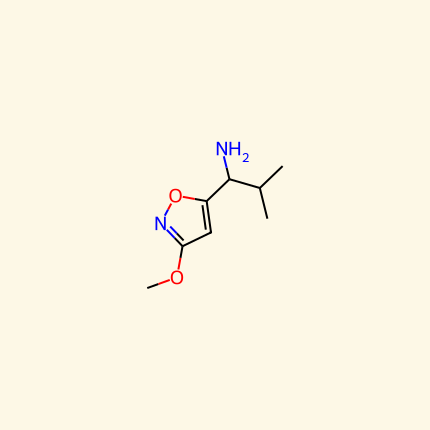 COc1cc(C(N)C(C)C)on1